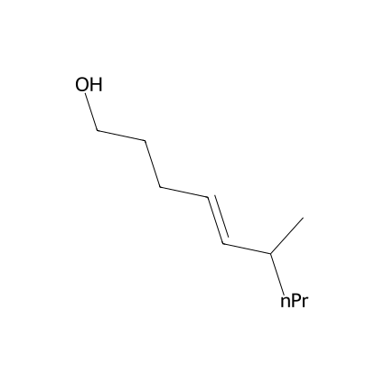 CCCC(C)C=CCCCO